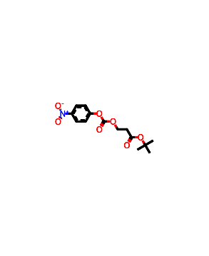 CC(C)(C)OC(=O)CCOC(=O)Oc1ccc([N+](=O)[O-])cc1